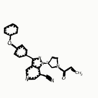 C=CC(=O)N1CC[C@H](n2nc(-c3ccc(Oc4ccccc4)cc3)c3cncc(C#N)c32)C1